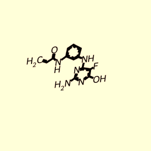 C=CC(=O)Nc1cccc(Nc2nc(N)nc(O)c2F)c1